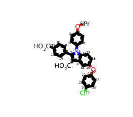 CC(C)Oc1ccc(-n2c(-c3ccc(C(=O)O)cc3)c(C(=O)O)c3cc(Oc4ccc(Cl)cc4)ccc32)cc1